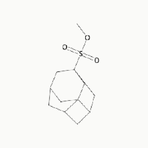 COS(=O)(=O)C12CC3CC4CC(C1)C4(C3)C2